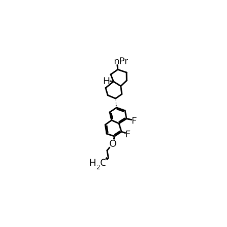 C=CCOc1ccc2cc([C@@H]3CC[C@@H]4CC(CCC)CCC4C3)cc(F)c2c1F